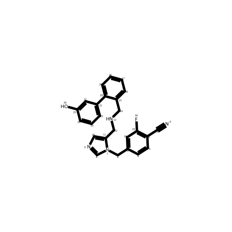 N#Cc1ccc(Cn2cncc2CNCc2ccccc2-c2cccc(O)c2)cc1F